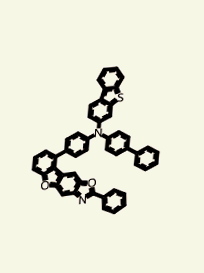 c1ccc(-c2ccc(N(c3ccc(-c4cccc5oc6cc7nc(-c8ccccc8)oc7cc6c45)cc3)c3ccc4c(c3)sc3ccccc34)cc2)cc1